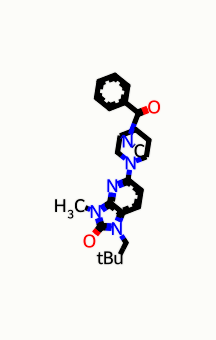 Cn1c(=O)n(CC(C)(C)C)c2ccc(N3CC4CCC3CN4C(=O)c3ccccc3)nc21